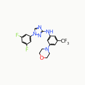 Fc1cc(F)cc(-n2cnc(Nc3cc(N4CCOCC4)cc(C(F)(F)F)c3)n2)c1